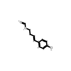 O=[C]OCC/C=C/c1ccc(Cl)cc1